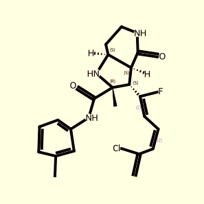 C=C(Cl)/C=C\C=C(/F)[C@H]1[C@@H]2C(=O)NCC[C@@H]2N[C@@]1(C)C(=O)Nc1cccc(C)c1